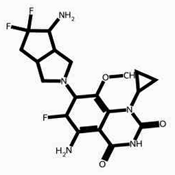 COC1=c2c(c(=O)[nH]c(=O)n2C2CC2)=C(N)C(F)C1N1CC2CC(F)(F)C(N)C2C1